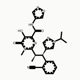 CC(C)n1cc([C@@H](c2ccccc2C#N)[C@@H](C)c2nc(C(=O)Nc3cnoc3)c(O)c(=O)n2C)cn1